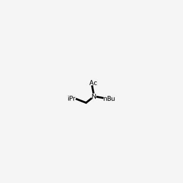 CCCCN(CC(C)C)C(C)=O